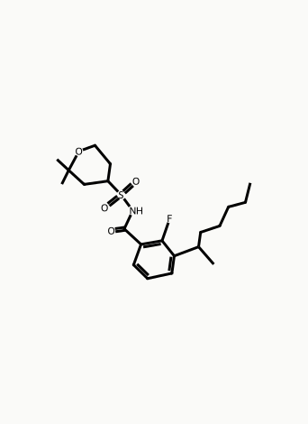 CCCCCC(C)c1cccc(C(=O)NS(=O)(=O)C2CCOC(C)(C)C2)c1F